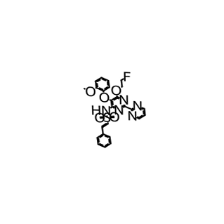 COc1ccccc1Oc1c(NS(=O)(=O)/C=C/c2ccccc2)nc(-c2ncccn2)nc1OCCF